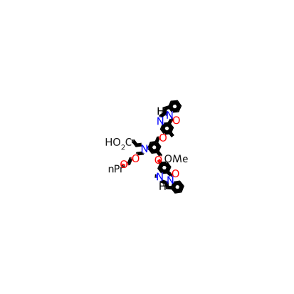 CCCOCCOCCN(CCCC(=O)O)c1cc(COc2cc3c(cc2C)C(=O)N2c4ccccc4C[C@H]2C=N3)cc(COc2cc3c(cc2OC)C(=O)N2c4ccccc4C[C@H]2CN3C)c1